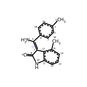 Cc1ccc(/C(N)=C2/C(=O)Nc3cccc(C)c32)cc1